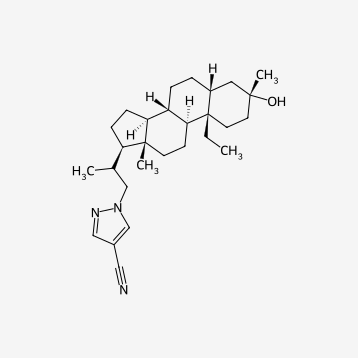 CC[C@]12CC[C@@](C)(O)C[C@H]1CC[C@H]1[C@@H]3CC[C@H](C(C)Cn4cc(C#N)cn4)[C@@]3(C)CC[C@@H]12